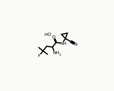 CC(C)(F)CC(N)C(=O)NC1(C#N)CC1.Cl